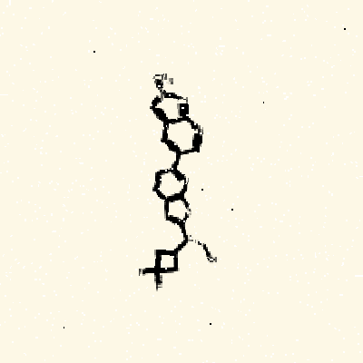 Cn1cc2cc(-c3ccc4cc([C@H](CO)C5CC(F)(F)C5)sc4n3)cnc2n1